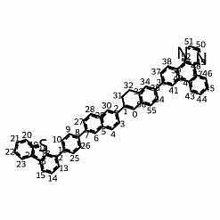 C1=C(c2ccc3cc(-c4ccc(-c5cccc6c5sc5ccccc56)cc4)ccc3c2)CCc2cc(-c3ccc4c(c3)c3ccccc3c3nccnc43)ccc21